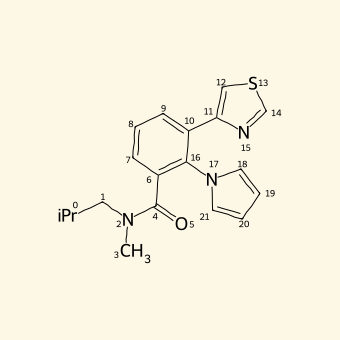 CC(C)CN(C)C(=O)c1cccc(-c2cscn2)c1-n1cccc1